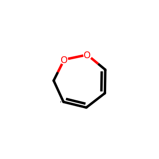 [C]1=CC=COOC1